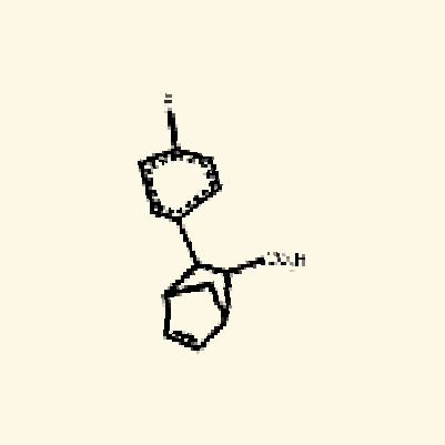 O=C(O)C1C2C=CC(C2)C1c1ccc(F)cc1